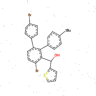 CC(C)(C)c1ccc(-c2c(-c3ccc(Br)cc3)ccc(Br)c2C(O)c2cccs2)cc1